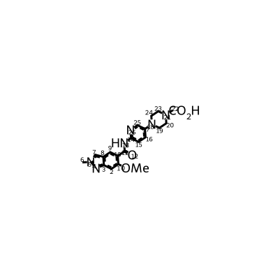 COc1cc2nn(C)cc2cc1C(=O)Nc1ccc(N2CCN(C(=O)O)CC2)cn1